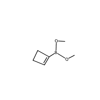 COB(OC)C1=CCC1